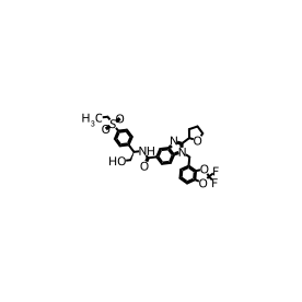 CCS(=O)(=O)c1ccc([C@H](CO)NC(=O)c2ccc3c(c2)nc(C2CCCO2)n3Cc2cccc3c2OC(F)(F)O3)cc1